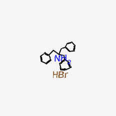 Br.NC(Cc1ccccc1)(Cc1ccccc1)Cc1ccccc1